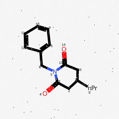 CCCC1CC(=O)N(Cc2ccccc2)C(=O)C1